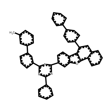 Cc1cccc(-c2cccc(-c3nc(-c4ccccc4)nc(-c4ccc5c(c4)oc4c6ccccc6cc(-c6ccc(-c7ccccc7)cc6)c54)n3)c2)c1